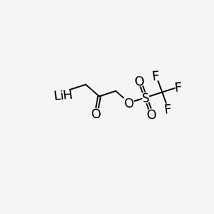 CCC(=O)COS(=O)(=O)C(F)(F)F.[LiH]